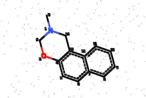 CN1COc2ccc3ccccc3c2C1